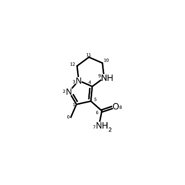 Cc1nn2c(c1C(N)=O)NCCC2